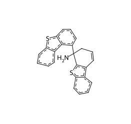 NC1(c2cccc3sc4ccccc4c23)CC=Cc2c1sc1ccccc21